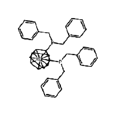 c1ccc(CP(Cc2ccccc2)[C]23[CH]4[CH]5[CH]6[C]2(P(Cc2ccccc2)Cc2ccccc2)[Ru]54632789[CH]3[CH]2[CH]7[CH]8[CH]39)cc1